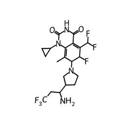 CC1=c2c(c(=O)[nH]c(=O)n2C2CC2)=C(C(F)F)C(F)C1N1CCC(C(N)CC(F)(F)F)C1